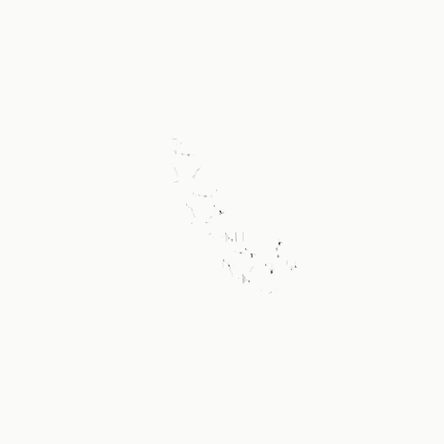 Cc1cc(-c2ccc(C(C)Nc3ncnc(N4C(=O)OC[C@@H]4C(C)C)n3)nc2)ccc1F